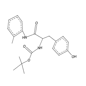 Cc1ccccc1NC(=O)C(Cc1ccc(O)cc1)NC(=O)OC(C)(C)C